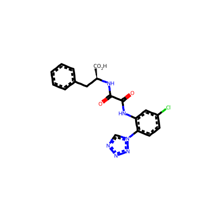 O=C(Nc1cc(Cl)ccc1-n1cnnn1)C(=O)N[C@@H](Cc1ccccc1)C(=O)O